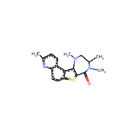 Cc1ccc2c(ccc3sc4c(c32)N(C)CC(C)N(C)C4=O)n1